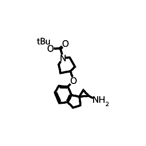 CC(C)(C)OC(=O)N1CCC(Oc2cccc3c2C2(CC3)CC2N)CC1